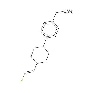 COCc1ccc(C2CCC(C=CF)CC2)cc1